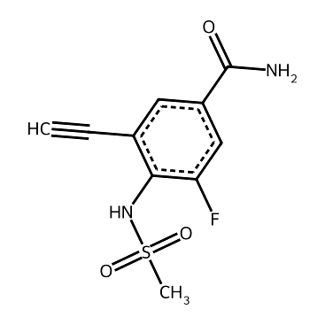 C#Cc1cc(C(N)=O)cc(F)c1NS(C)(=O)=O